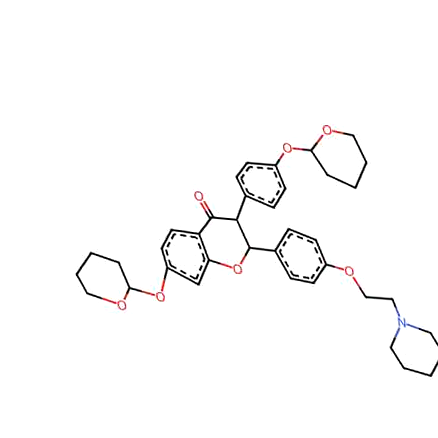 O=C1c2ccc(OC3CCCCO3)cc2OC(c2ccc(OCCN3CCCCC3)cc2)C1c1ccc(OC2CCCCO2)cc1